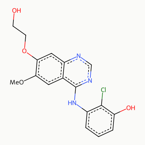 COc1cc2c(Nc3cccc(O)c3Cl)ncnc2cc1OCCO